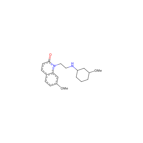 COc1ccc2ccc(=O)n(CCNC3CCCC(OC)C3)c2c1